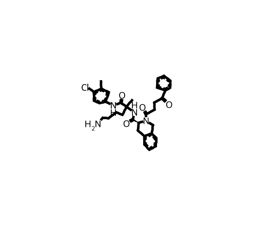 Cc1cc(NC(=O)C(C)(CCCCN)NC(=O)[C@@H]2Cc3ccccc3CN2C(=O)CCC(=O)c2ccccc2)ccc1Cl